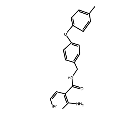 C/C(N)=C(\C=C/C(C)C)C(=O)NCc1ccc(Oc2ccc(C)cc2)cc1